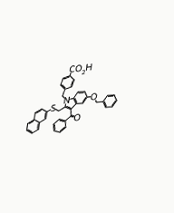 O=C(O)c1ccc(Cn2c(CSc3ccc4ccccc4c3)c(C(=O)c3ccccc3)c3cc(OCc4ccccc4)ccc32)cc1